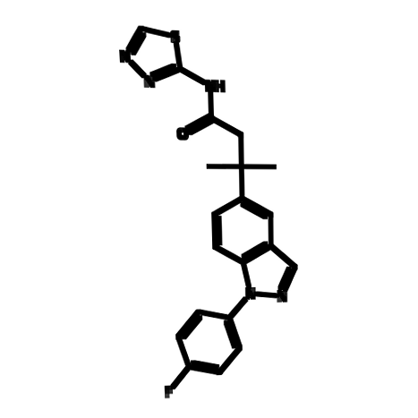 CC(C)(CC(=O)Nc1nncs1)c1ccc2c(cnn2-c2ccc(F)cc2)c1